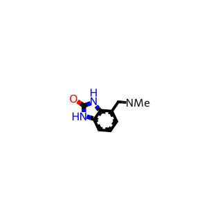 CNCc1cccc2[nH]c(=O)[nH]c12